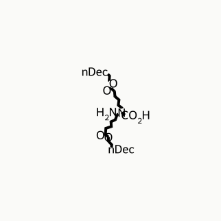 CCCCCCCCCCCCOC(=O)CCCCCN(C(=O)O)C(N)CCCCC(=O)OCCCCCCCCCCCC